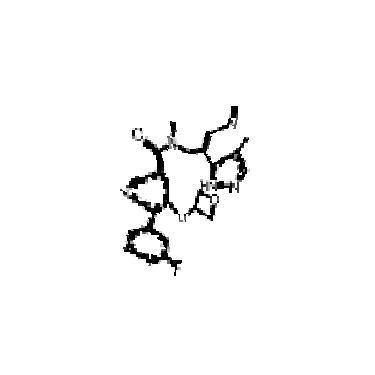 C=N/C=C(/CN(C)C(=O)c1cnc(-c2cccc(F)c2)c(OC2COC2)c1)c1[nH]ncc1C